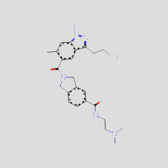 Cc1cc2[nH]nc(CCC(C)C)c2cc1C(=O)N1Cc2ccc(C(=O)NCCN(C)C)cc2C1